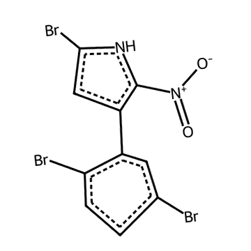 O=[N+]([O-])c1[nH]c(Br)cc1-c1cc(Br)ccc1Br